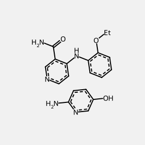 CCOc1ccccc1Nc1ccncc1C(N)=O.Nc1ccc(O)cn1